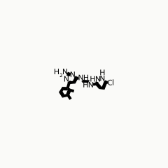 Cc1cccc(-c2cc(NCCNC3=CC=C(Cl)NN3)nc(N)n2)c1C